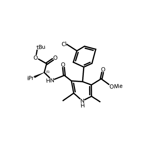 COC(=O)C1=C(C)NC(C)=C(C(=O)N[C@H](C(=O)OC(C)(C)C)C(C)C)C1c1cccc(Cl)c1